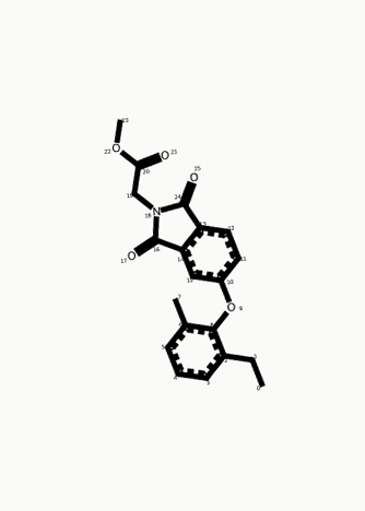 CCc1cccc(C)c1Oc1ccc2c(c1)C(=O)N(CC(=O)OC)C2=O